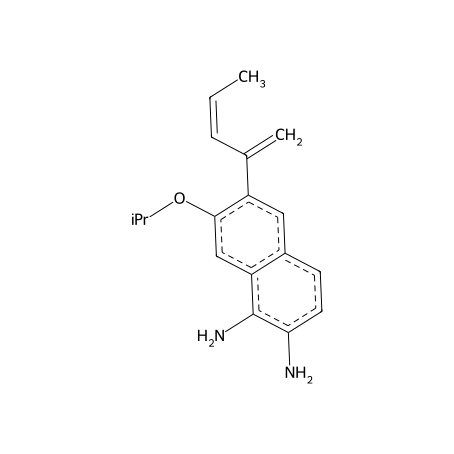 C=C(/C=C\C)c1cc2ccc(N)c(N)c2cc1OC(C)C